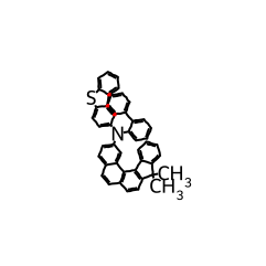 CC1(C)c2ccccc2-c2c1ccc1ccc3ccc(N(c4ccc5sc6ccccc6c5c4)c4ccccc4-c4ccccc4)cc3c21